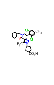 Cc1cc(Cl)c(CCN(CC2CCCCC2)C(=O)c2cnn(C3CCC(C(=O)O)CC3)c2C(F)(F)F)c(Cl)c1